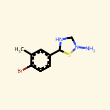 Cc1cc(C2NCN(N)S2)ccc1Br